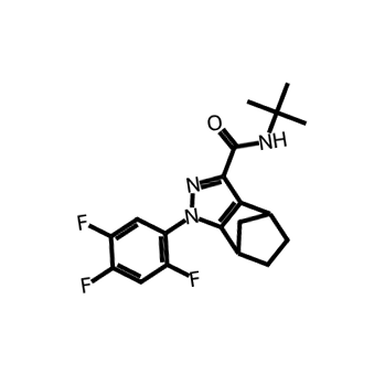 CC(C)(C)NC(=O)c1nn(-c2cc(F)c(F)cc2F)c2c1C1CCC2C1